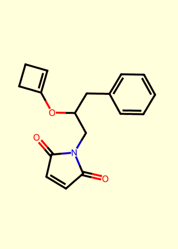 O=C1C=CC(=O)N1CC(Cc1ccccc1)OC1=CCC1